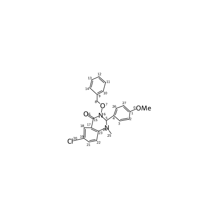 COc1ccc(C2N(OCc3ccccc3)C(=O)c3cc(Cl)ccc3N2C)cc1